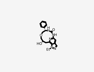 CCn1ncc2cc3nc(c21)C[C@@H](O)COC[C@H](c1ccccc1)NC(=O)N3